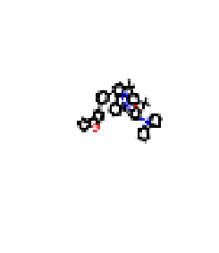 CC(C)(C)c1cc(C(C)(C)C)c2c(c1)C(C)(C)c1ccc(-c3cccc(-c4ccc5oc6ccccc6c5c4)c3)c(-c3ccccc3Nc3ccc(-n4c5ccccc5c5ccccc54)cc3)c1-2